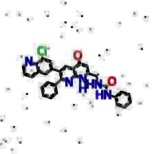 O=C(NCc1cc(=O)c2cc(-c3cc(Cl)c4ncccc4c3)c(-c3ccccc3)nc2[nH]1)Nc1ccccc1